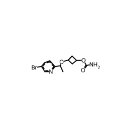 CC(OC1CC(OC(N)=O)C1)c1ccc(Br)cn1